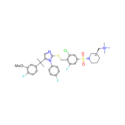 COc1cc(C(C)(C)c2cnc(SCc3c(F)cc(S(=O)(=O)N4CCC[C@H](C[N+](C)(C)C)C4)cc3Cl)n2-c2ccc(F)cc2)ccc1F